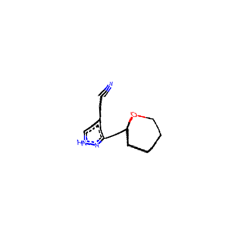 N#Cc1c[nH]nc1C1CCCCO1